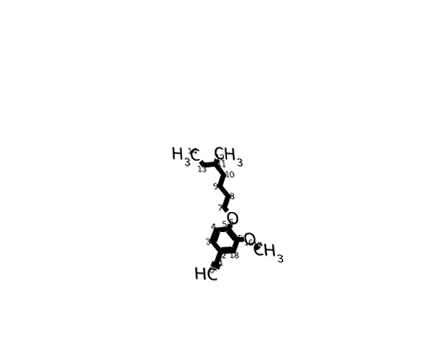 C#Cc1ccc(OCCCCC(C)CC)c(OC)c1